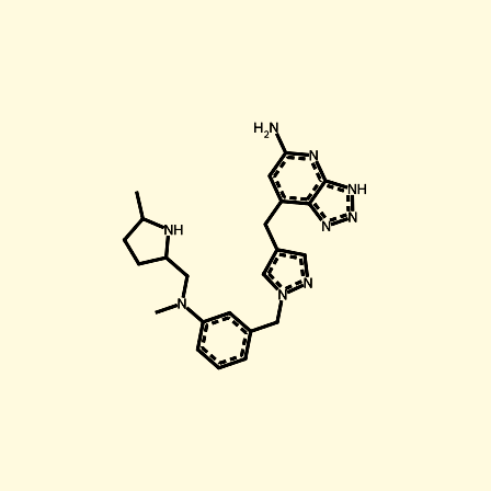 CC1CCC(CN(C)c2cccc(Cn3cc(Cc4cc(N)nc5[nH]nnc45)cn3)c2)N1